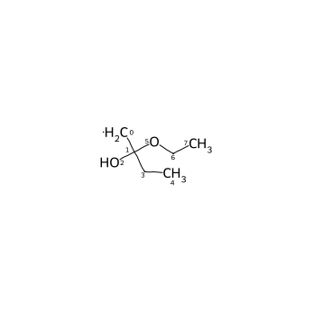 [CH2]C(O)(CC)OCC